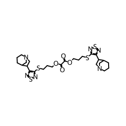 O=C(OCCCSc1nsnc1C1CN2CCCC1C2)C(=O)OCCCSc1nsnc1C1CN2CCCC1C2